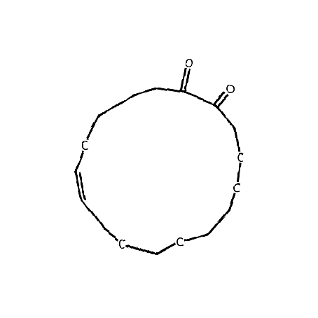 O=C1CCCCC=CCCCCCCCCCC1=O